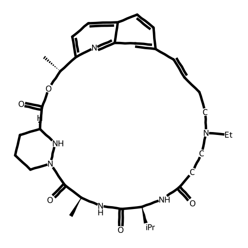 CCN1CC/C=C/c2ccc3ccc(nc3c2)[C@@H](C)OC(=O)[C@@H]2CCCN(N2)C(=O)[C@H](C)NC(=O)[C@H](C(C)C)NC(=O)CC1